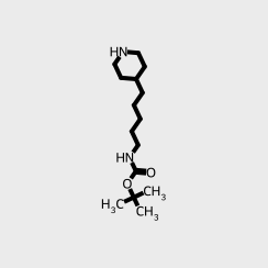 CC(C)(C)OC(=O)NCCCCCC1CCNCC1